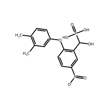 Cc1ccc(Oc2ccc([N+](=O)[O-])cc2C(O)P(=O)(O)O)cc1C